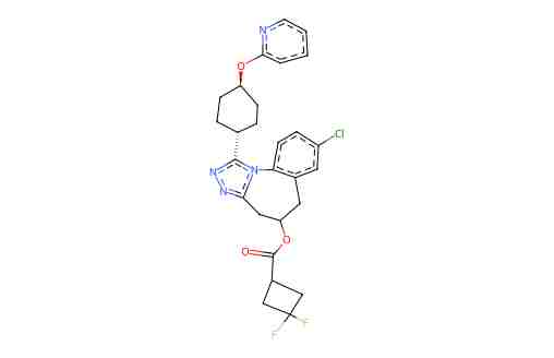 O=C(OC1Cc2cc(Cl)ccc2-n2c(nnc2[C@H]2CC[C@H](Oc3ccccn3)CC2)C1)C1CC(F)(F)C1